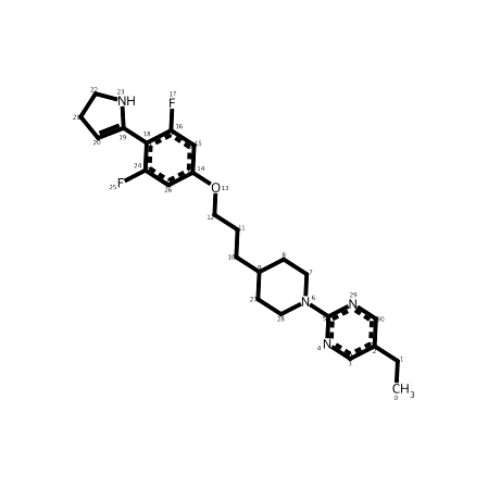 CCc1cnc(N2CCC(CCCOc3cc(F)c(C4=CCCN4)c(F)c3)CC2)nc1